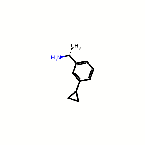 C[C@@H](N)c1cccc(C2CC2)c1